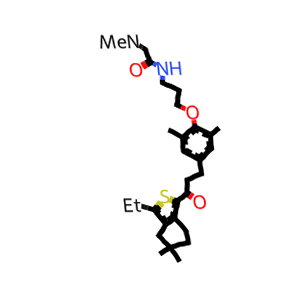 CCc1sc(C(=O)CCc2cc(C)c(OCCCNC(=O)CNC)c(C)c2)c2c1CC(C)(C)CC2